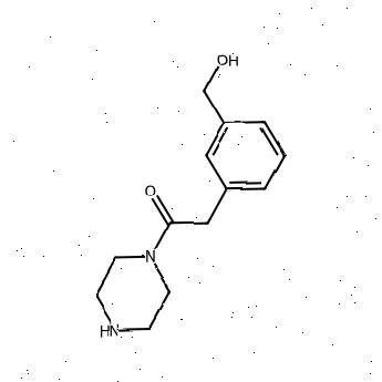 O=C(Cc1cccc(CO)c1)N1CCNCC1